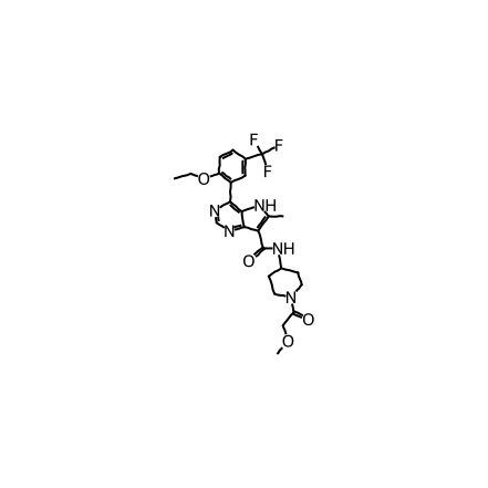 CCOc1ccc(C(F)(F)F)cc1-c1ncnc2c(C(=O)NC3CCN(C(=O)COC)CC3)c(C)[nH]c12